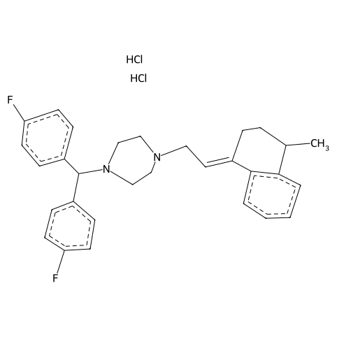 CC1CCC(=CCN2CCN(C(c3ccc(F)cc3)c3ccc(F)cc3)CC2)c2ccccc21.Cl.Cl